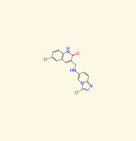 O=c1[nH]c2ccc(Cl)cc2cc1CNc1ccc2ncc(Cl)n2c1